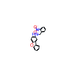 O=[N+]([O-])c1ccccc1CNc1ccc2oc3ccccc3c2c1